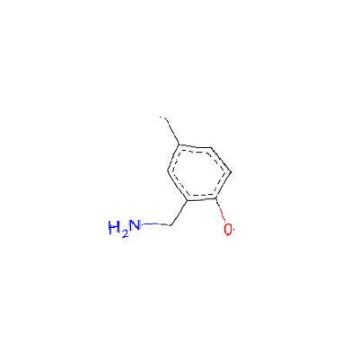 [CH2]c1ccc([O])c(CN)c1